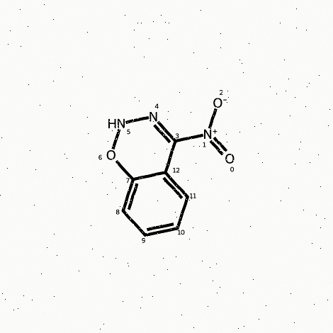 O=[N+]([O-])C1=NNOc2ccccc21